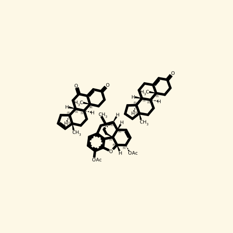 CC(=O)Oc1ccc2c3c1O[C@H]1[C@@H](OC(C)=O)C=C[C@H]4[C@@H](C2)N(C)CC[C@@]341.C[C@@]12C=CC[C@H]1[C@@H]1CC(=O)C3=CC(=O)CC[C@]3(C)[C@H]1CC2.C[C@@]12CCC[C@H]1[C@@H]1CCC3=CC(=O)CC[C@]3(C)[C@H]1CC2